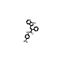 CN(C)c1ccc(NC(=O)/C(=C/c2c[nH]c3ncccc23)c2ccccc2)cc1